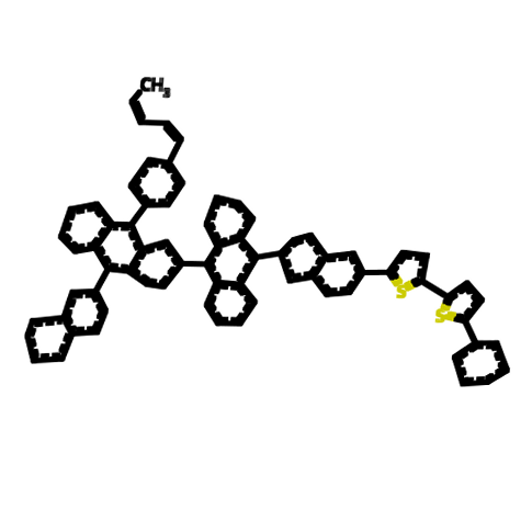 C/C=C\C=C/c1ccc(-c2c3ccccc3c(-c3ccc4ccccc4c3)c3ccc(-c4c5ccccc5c(-c5ccc6cc(-c7ccc(-c8ccc(-c9ccccc9)s8)s7)ccc6c5)c5ccccc45)cc23)cc1